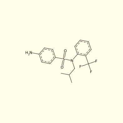 CC(C)CN(c1ccccc1C(F)(F)F)S(=O)(=O)c1ccc(N)cc1